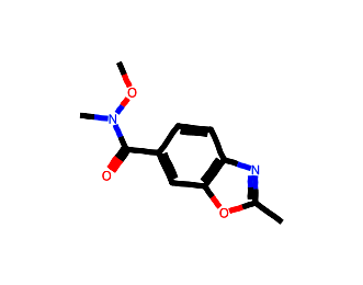 CON(C)C(=O)c1ccc2nc(C)oc2c1